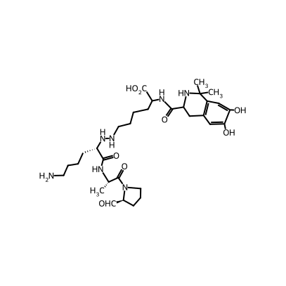 C[C@H](NC(=O)[C@H](CCCCN)NNCCCCC(NC(=O)C1Cc2cc(O)c(O)cc2C(C)(C)N1)C(=O)O)C(=O)N1CCC[C@H]1C=O